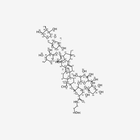 CCCCCCCCCCCCNC(=O)C1O[C@@H](OC2CC[C@@]3(C)C(CC[C@]4(C)C3CC=C3C5CC(C)(C)CC[C@]5(C(=O)O[C@@H]5OC(C)[C@H](O)[C@@H](O)C5O[C@@H]5OC(C)[C@H](O[C@@H]6OC[C@@H](O)[C@@H](C)C6O)[C@H](C)C5O)[C@H](O)C[C@]34C)[C@]2(C)C=O)C(O[C@@H]2OC(CO)[C@H](O)[C@@H](O)C2O)[C@H](O[C@@H]2OC[C@@H](O)[C@@H](O)C2O)[C@@H]1O